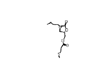 CCCCN1CC(COC(=O)CCSC)OC1=O